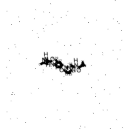 Cc1cc(C(=O)Nc2cc(Oc3ccc4nc(NC(=O)C5CC5)cn4n3)ccc2C)[nH]n1